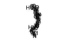 CC[C@@]1(O)C(=O)OCc2c1cc1n(c2=O)Cc2cc3c(CN(C)C)c(OC(=O)N4CCN(CC5CCN(c6ccc(C(=O)NC7CCC(N(C)c8ccc(C#N)c(Cl)c8)CC7)nn6)CC5)CC4)ccc3nc2-1